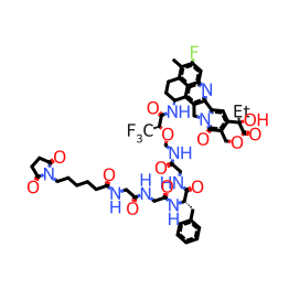 CC[C@@]1(O)C(=O)OCc2c1cc1n(c2=O)Cc2c-1nc1cc(F)c(C)c3c1c2[C@@H](NC(=O)[C@@H](OCNC(=O)CNC(=O)[C@H](Cc1ccccc1)NC(=O)CNC(=O)CNC(=O)CCCCCN1C(=O)CCC1=O)C(F)(F)F)CC3